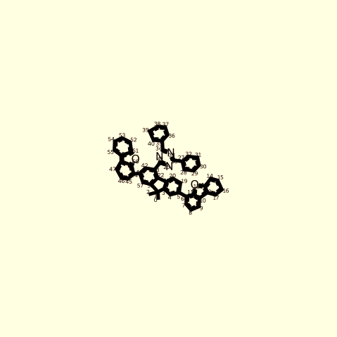 CC1(C)c2cc(-c3cccc4c3oc3ccccc34)ccc2-c2c(-c3nc(-c4ccccc4)nc(-c4ccccc4)n3)cc(-c3cccc4c3oc3ccccc34)cc21